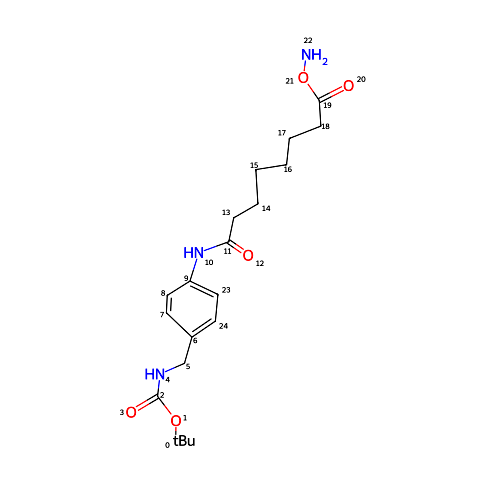 CC(C)(C)OC(=O)NCc1ccc(NC(=O)CCCCCCC(=O)ON)cc1